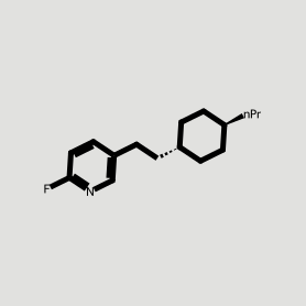 CCC[C@H]1CC[C@H](CCc2ccc(F)nc2)CC1